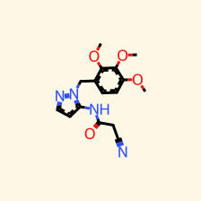 COc1ccc(Cn2nccc2NC(=O)CC#N)c(OC)c1OC